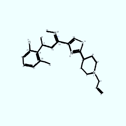 C=CCN1CCC(c2nc(/C(CC(C)c3c(C)cccc3Cl)=N/C)cs2)CC1